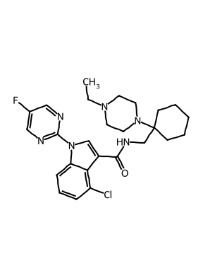 CCN1CCN(C2(CNC(=O)c3cn(-c4ncc(F)cn4)c4cccc(Cl)c34)CCCCC2)CC1